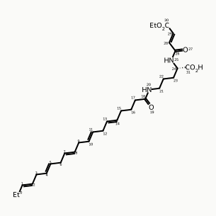 CCC=CCC=CCC=CCC=CCC=CCCCC(=O)NCCC[C@H](NC(=O)C=CC(=O)OCC)C(=O)O